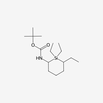 CCC1CCCC(NC(=O)OC(C)(C)C)[Si]1(CC)CC